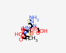 C[C@@H]1[C@@H]2CC(=O)O[C@]2(C(=O)O)N2C(=O)[C@@H](NC(=O)/C(=N\OCC(=O)O)c3csc(N)n3)[C@H]2[S@+]1[O-]